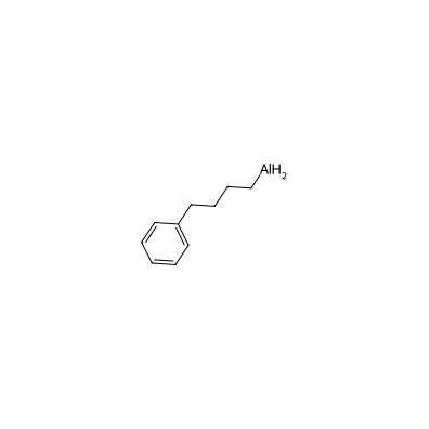 [AlH2][CH2]CCCc1ccccc1